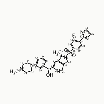 CC1c2cc(C(O)c3cccc(N4CCN(C)CC4)c3)ncc2CN1S(=O)(=O)c1ccc(-c2ncco2)c(F)c1